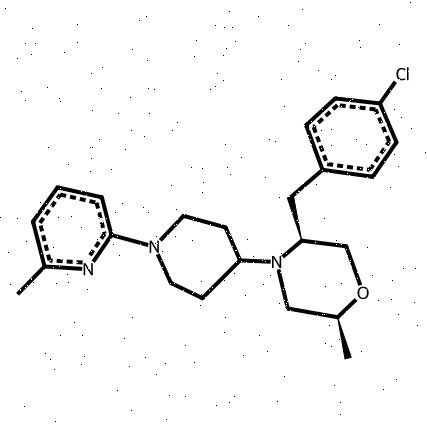 Cc1cccc(N2CCC(N3C[C@H](C)OC[C@@H]3Cc3ccc(Cl)cc3)CC2)n1